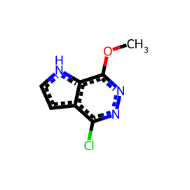 COc1nnc(Cl)c2cc[nH]c12